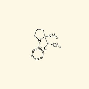 CC(C)C1(C)CCCN1c1ccccc1